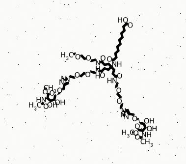 CCOCCOCCNC(=O)CCC(CCC(=O)NCCOCCOCCn1cc(COC[C@H]2O[C@@H](OC)[C@H](NC(C)=O)[C@@H](O)[C@H]2O)nn1)(CCC(=O)NCCOCCOCCn1cc(COC[C@H]2O[C@@H](OC)[C@H](NC(C)=O)[C@@H](O)[C@H]2O)nn1)NC(=O)CCCCCCCCCCC(=O)O